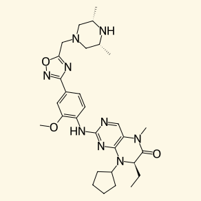 CC[C@@H]1C(=O)N(C)c2cnc(Nc3ccc(-c4noc(CN5C[C@@H](C)N[C@@H](C)C5)n4)cc3OC)nc2N1C1CCCC1